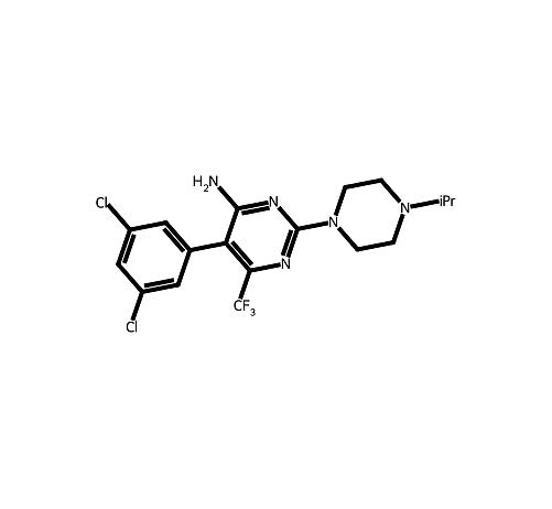 CC(C)N1CCN(c2nc(N)c(-c3cc(Cl)cc(Cl)c3)c(C(F)(F)F)n2)CC1